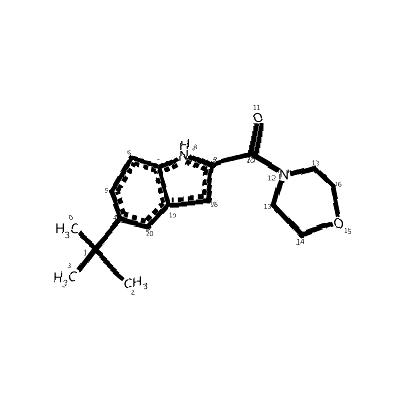 CC(C)(C)c1ccc2[nH]c(C(=O)N3CCOCC3)cc2c1